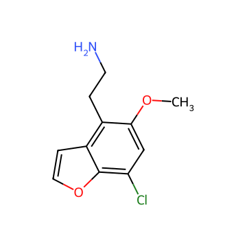 COc1cc(Cl)c2occc2c1CCN